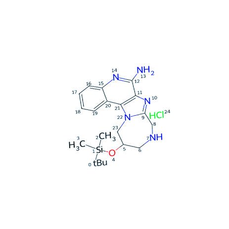 CC(C)(C)[Si](C)(C)OC1CNCc2nc3c(N)nc4ccccc4c3n2C1.Cl